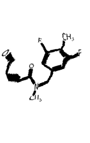 Cc1c(F)cc(CN(C)C(=O)/C=C\C=O)cc1F